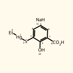 C[CH2][Hg][S]c1cccc(C(=O)O)c1O.[NaH]